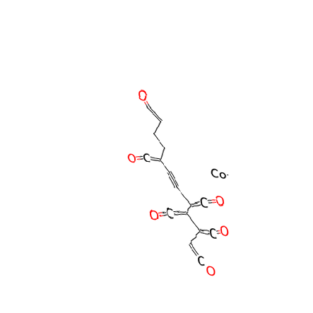 O=C=CCCC(=C=O)C#CC(=C=O)C(=C=O)C(=C=O)C=C=O.[Co]